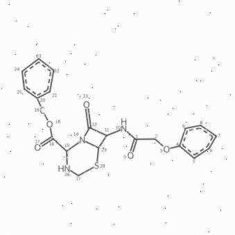 O=C(COc1ccccc1)NC1C(=O)N2C(C(=O)OCc3ccccc3)NCSC12